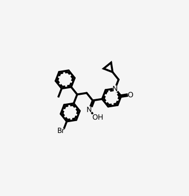 Cc1ccccc1C(CC(=NO)c1ccc(=O)n(CC2CC2)c1)c1ccc(Br)cc1